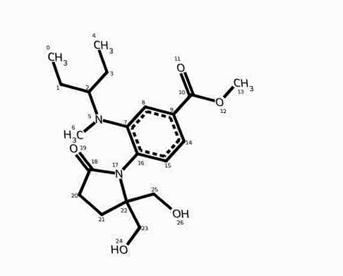 CCC(CC)N(C)c1cc(C(=O)OC)ccc1N1C(=O)CCC1(CO)CO